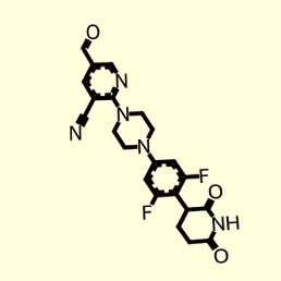 N#Cc1cc(C=O)cnc1N1CCN(c2cc(F)c(C3CCC(=O)NC3=O)c(F)c2)CC1